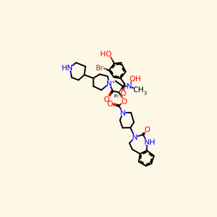 CN(O)C(=O)C[N+]1(C(=O)[C@@H](Cc2ccc(O)c(Br)c2)OC(=O)N2CCC(N3CCc4ccccc4NC3=O)CC2)CCC(C2CCNCC2)CC1